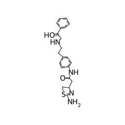 NC1=NC(CC(=O)Nc2ccc(CCNC[C@H](O)c3ccccc3)cc2)CS1